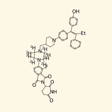 [2H]C1([2H])N(CC2CCN(c3ccc(C(=C(CC)c4ccccc4)c4ccc(O)cc4)cc3)CC2)C([2H])([2H])C([2H])([2H])N(c2ccc3c(c2F)C(=O)N(C2CCC(=O)NC2=O)C3=O)C1([2H])[2H]